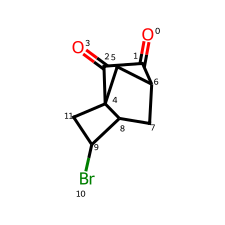 O=C1C(=O)C23CC1CC2C(Br)C3